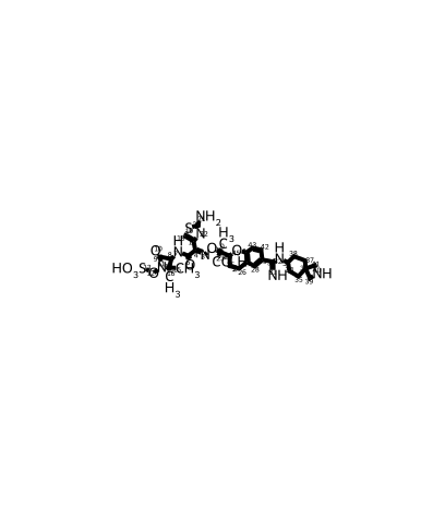 CC(ON=C(C(=O)NC1C(=O)N(OS(=O)(=O)O)C1(C)C)c1csc(N)n1)(C(=O)O)C1CCc2cc(C(=N)NC3CCC4(CC3)CNC4)ccc2O1